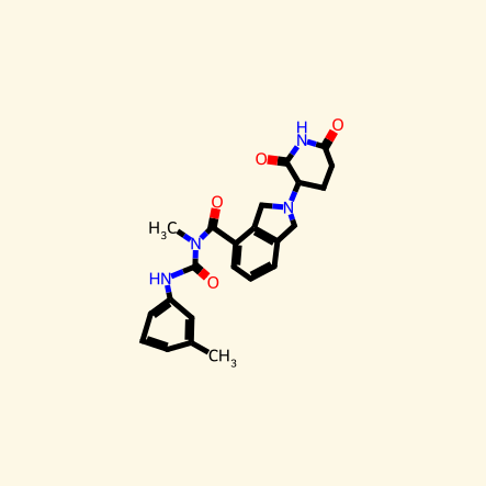 Cc1cccc(NC(=O)N(C)C(=O)c2cccc3c2CN(C2CCC(=O)NC2=O)C3)c1